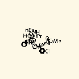 CCCCNC(=O)[C@@H](C[C@H](O)[C@H](CC1CCCCC1)NC(=O)N1CCC[C@@H]([C@@H](OCCNC(=O)OC)c2cccc(Cl)c2)C1)C(C)C